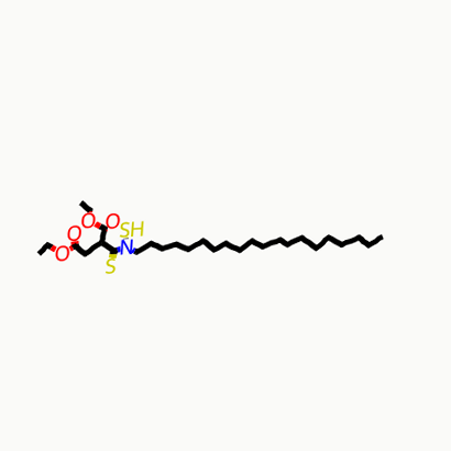 CCCCCCCCCCCCCCCCCCCCN(S)C(=S)C(CC(=O)OCC)C(=O)OCC